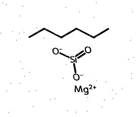 CCCCCC.O=[Si]([O-])[O-].[Mg+2]